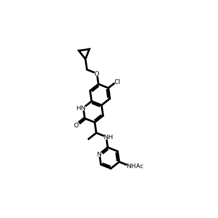 CC(=O)Nc1ccnc(NC(C)c2cc3cc(Cl)c(OCC4CC4)cc3[nH]c2=O)c1